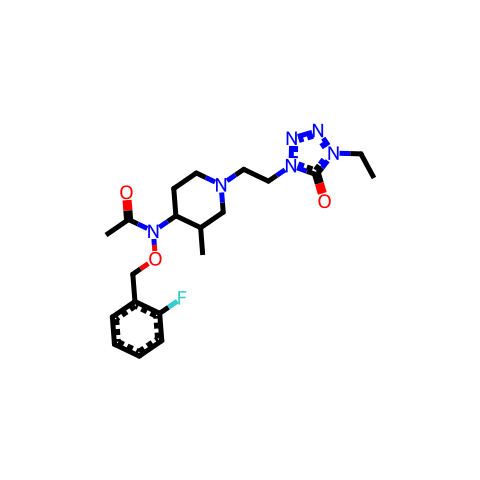 CCn1nnn(CCN2CCC(N(OCc3ccccc3F)C(C)=O)C(C)C2)c1=O